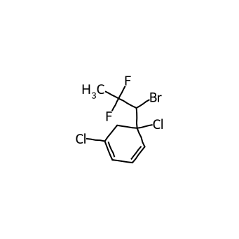 CC(F)(F)C(Br)C1(Cl)C=CC=C(Cl)C1